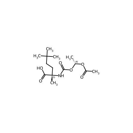 CC(=O)O[C@@H](C)OC(=O)N[C@@](C)(CCC(C)(C)C)C(=O)O